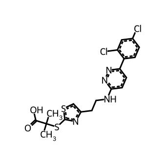 CC(C)(Sc1nc(CCNc2ccc(-c3ccc(Cl)cc3Cl)nn2)cs1)C(=O)O